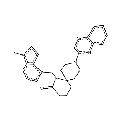 Cn1ccc2c(CN3C(=O)CCCC34CCN(c3cnc5ccccc5n3)CC4)cccc21